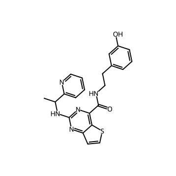 CC(Nc1nc(C(=O)NCCc2cccc(O)c2)c2sccc2n1)c1ccccn1